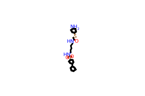 Nc1ccc(SCC(=O)NCCCCCNS(=O)(=O)c2ccc(-c3ccccc3)cc2)cc1